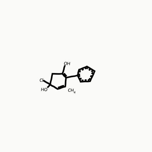 C.OC1=C(c2ccccc2)C=CC(O)(Cl)C1